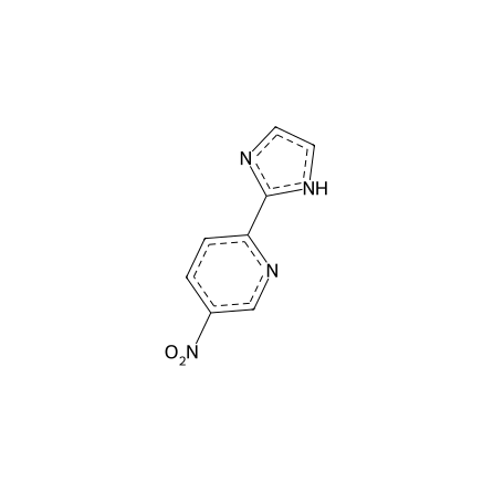 O=[N+]([O-])c1ccc(-c2ncc[nH]2)nc1